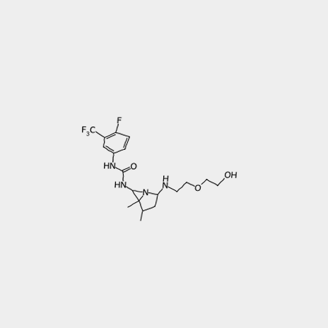 CC1CC(NCCOCCO)N2C(NC(=O)Nc3ccc(F)c(C(F)(F)F)c3)C12C